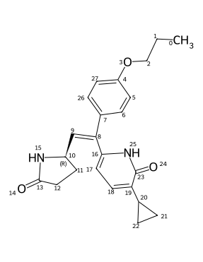 CCCOc1ccc(C(=C[C@H]2CCC(=O)N2)c2ccc(C3CC3)c(=O)[nH]2)cc1